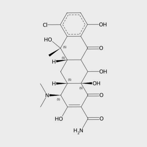 CN(C)[C@@H]1C(O)=C(C(N)=O)C(=O)[C@@]2(O)C(O)C3C(=O)c4c(O)ccc(Cl)c4[C@@](C)(O)[C@H]3C[C@@H]12